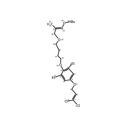 CCc1cc(OCC=C(Cl)Cl)cc(CC)c1OCCCCOCC(C)=NOC(C)(C)C